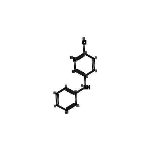 Clc1ccc(Nc2ccccc2)cn1